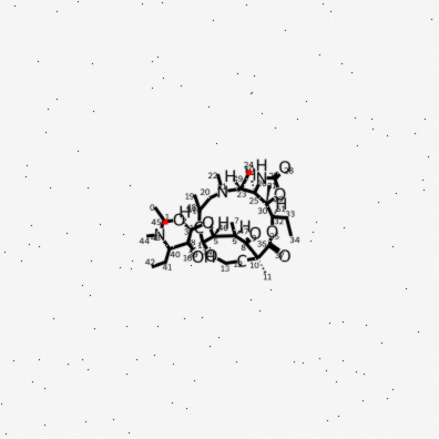 CCO[C@@H](O[C@@H]1[C@@H](C)C(=O)[C@]2(C)CCO[C@@]1(C)C[C@@H](C)CN(C)[C@H](C)[C@H]1NC(=O)O[C@]1(C)[C@@H](CC)OC2=O)C(O)C(CC)N(C)C